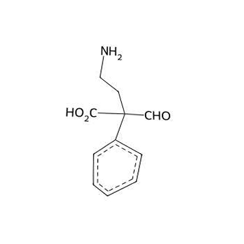 NCCC(C=O)(C(=O)O)c1ccccc1